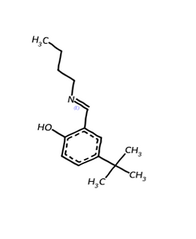 CCCC/N=C/c1cc(C(C)(C)C)ccc1O